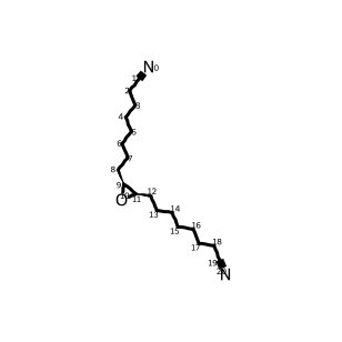 N#CCCCCCCC[C@@H]1O[C@@H]1CCCCCCCC#N